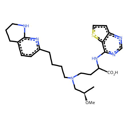 CO[C@H](C)CN(CCCCc1ccc2c(n1)NCCC2)CCC(Nc1ncnc2ccsc12)C(=O)O